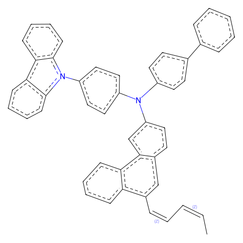 C/C=C\C=C/c1cc2ccc(N(c3ccc(-c4ccccc4)cc3)c3ccc(-n4c5ccccc5c5ccccc54)cc3)cc2c2ccccc12